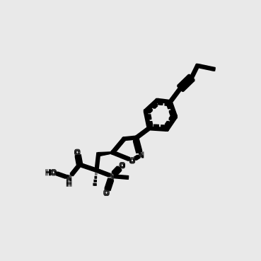 CCC#Cc1ccc(C2=NO[C@@H](C[C@](C)(C(=O)NO)S(C)(=O)=O)C2)cc1